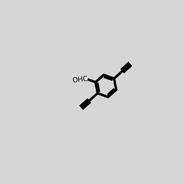 C#Cc1ccc(C#C)c(C=O)c1